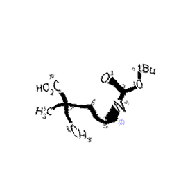 CC(C)(C)OC(=O)/N=C\CC(C)(C)C(=O)O